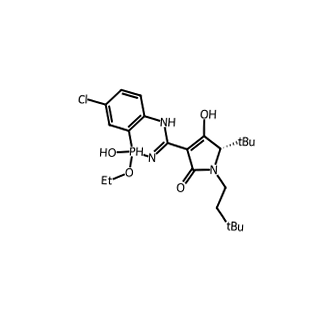 CCO[PH]1(O)N=C(C2=C(O)[C@H](C(C)(C)C)N(CCC(C)(C)C)C2=O)Nc2ccc(Cl)cc21